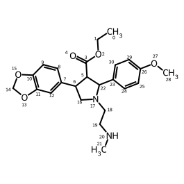 CCOC(=O)C1C(c2ccc3c(c2)OCO3)CN(CCNC)C1c1ccc(OC)cc1